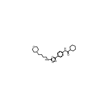 O=C(Nc1ccc(-c2nnc(NCCCCN3CCOCC3)o2)cc1)C1CCCCC1